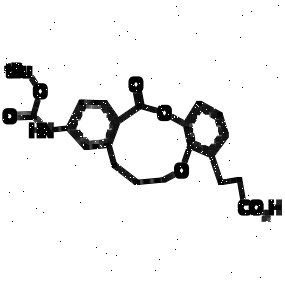 CC(C)(C)OC(=O)Nc1ccc2c(c1)CCCOc1c(CCC(=O)O)cccc1OC2=O